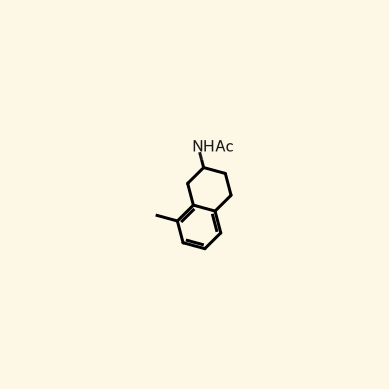 CC(=O)NC1CCc2cccc(C)c2C1